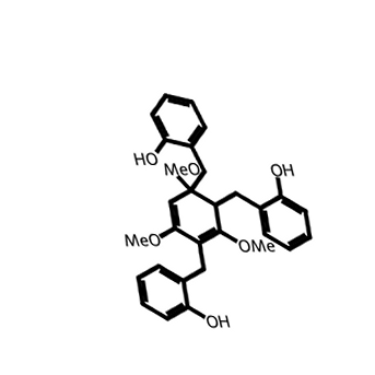 COC1=CC(Cc2ccccc2O)(OC)C(Cc2ccccc2O)C(OC)=C1Cc1ccccc1O